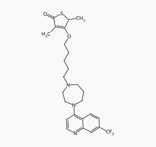 CC1=C(OCCCCCN2CCCN(c3ccnc4cc(C(F)(F)F)ccc34)CC2)C(C)SC1=O